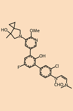 COc1ncc(-c2cc(F)cc(-c3ccc(N(C=O)/C=C\N(C)C)c(Cl)c3)c2O)cc1N1CC(C)(O)C2(CC2)C1